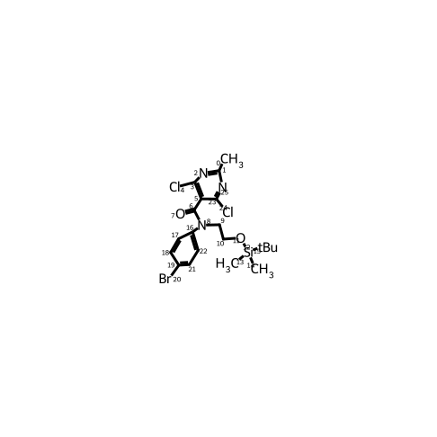 Cc1nc(Cl)c(C(=O)N(CCO[Si](C)(C)C(C)(C)C)c2ccc(Br)cc2)c(Cl)n1